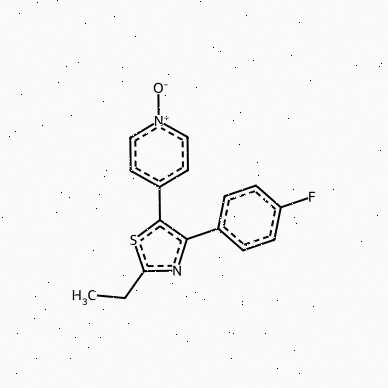 CCc1nc(-c2ccc(F)cc2)c(-c2cc[n+]([O-])cc2)s1